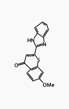 COc1ccc2c(=O)cc(-c3nc4ccccc4[nH]3)sc2c1